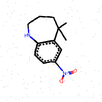 CC1(C)CCCNc2ccc([N+](=O)[O-])cc21